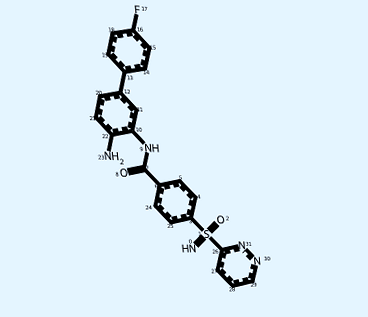 N=S(=O)(c1ccc(C(=O)Nc2cc(-c3ccc(F)cc3)ccc2N)cc1)c1cccnn1